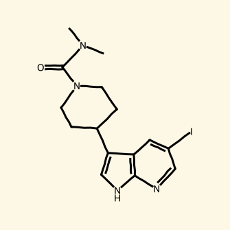 CN(C)C(=O)N1CCC(c2c[nH]c3ncc(I)cc23)CC1